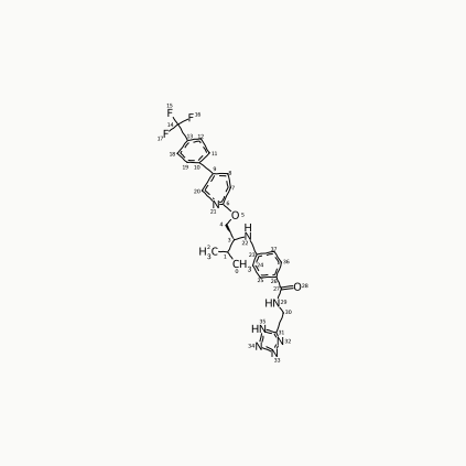 CC(C)[C@@H](COc1ccc(-c2ccc(C(F)(F)F)cc2)cn1)Nc1ccc(C(=O)NCc2nnn[nH]2)cc1